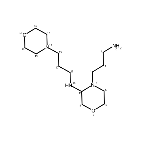 NCCCN1CCOCC1NCCCN1CCOCC1